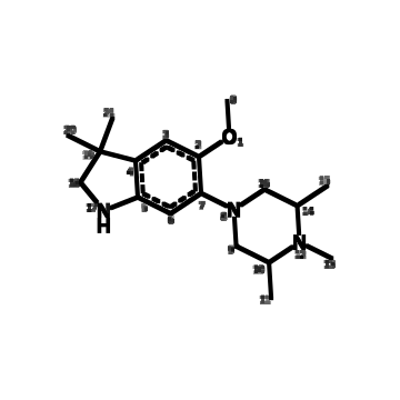 COc1cc2c(cc1N1CC(C)N(C)C(C)C1)NCC2(C)C